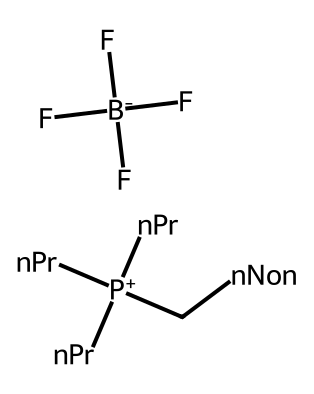 CCCCCCCCCC[P+](CCC)(CCC)CCC.F[B-](F)(F)F